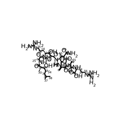 C=C(NC(=O)[C@@H](NC(=O)[C@H](O)[C@H](O)[C@H](CCCN=C(N)N)NC(=O)[C@@H](C)NC(=O)[C@H](C)[C@H](O)[C@H](C)CC(C)C)[C@@H](C)[C@@H](C)C(N)=O)C(=O)N[C@@H](C(=O)N[C@H](CCCN=C(N)N)C(=O)O)[C@@H](C)O